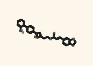 O=C(/C=C/c1ccc2c(c1)OCO2)OCCc1cn(-c2ccc(-c3ccccc3C(F)(F)F)cc2)[nH]1